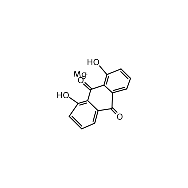 O=C1c2cccc(O)c2C(=O)c2c(O)cccc21.[Mg]